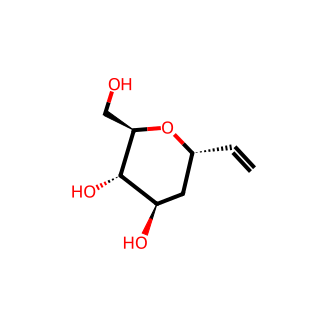 C=C[C@@H]1C[C@@H](O)[C@H](O)[C@@H](CO)O1